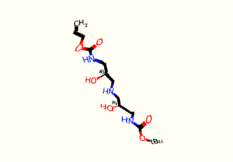 C=CCOC(=O)NC[C@H](O)CNC[C@@H](O)CNC(=O)OC(C)(C)C